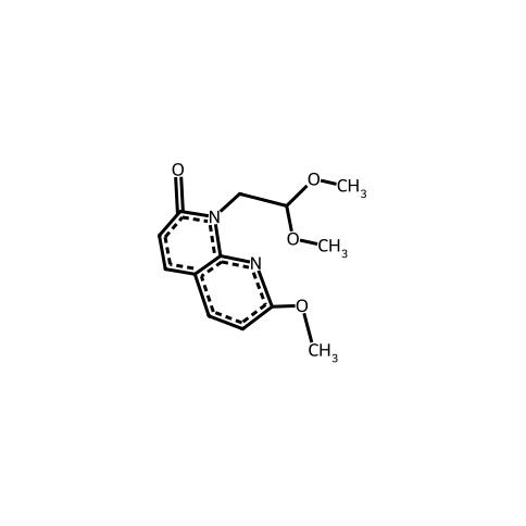 COc1ccc2ccc(=O)n(CC(OC)OC)c2n1